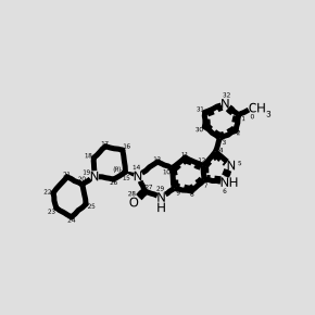 Cc1cc(-c2n[nH]c3cc4c(cc23)CN([C@@H]2CCCN(C3CCCCC3)C2)C(=O)N4)ccn1